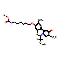 CCOC(=O)c1cn2c(cc1=O)-c1cc(OC)c(OCCCCCCNC(=O)OC(C)(C)C)cc1CC2C(C)(C)COC